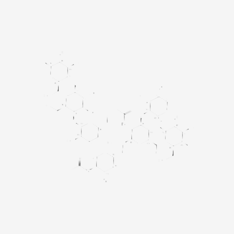 CC(=O)N[C@H]1[C@H](O[C@H]2[C@@H](O)[C@@H](CO)O[C@H](O[C@@H]3[C@H](O)[C@@H](O)[C@H](O[C@H]4[C@H](O)[C@@H](O)[C@H](O)O[C@@H]4CO)O[C@@H]3CO)[C@@H]2O)O[C@H](CO[C@@H]2O[C@H](CO)[C@@H](O[C@@H]3O[C@H](CO)[C@H](O)[C@H](O)[C@H]3O)[C@H](O[C@H]3[C@H](O)[C@H](O)[C@H](C)O[C@H]3O)[C@H]2NC(C)=O)[C@H](O)[C@@H]1O